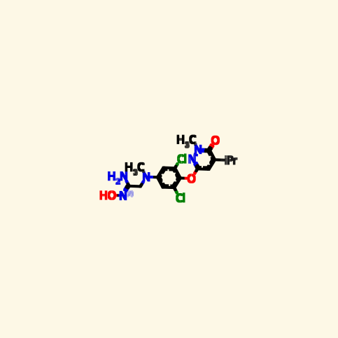 CC(C)c1cc(Oc2c(Cl)cc(N(C)C/C(N)=N/O)cc2Cl)nn(C)c1=O